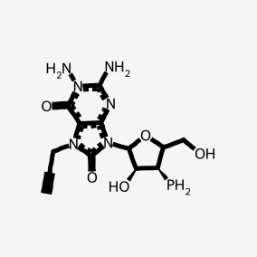 C#CCn1c(=O)n(C2OC(CO)[C@@H](P)[C@H]2O)c2nc(N)n(N)c(=O)c21